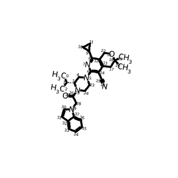 CC(C)[C@@H]1CN(c2nc(C3CC3)c3c(c2C#N)CC(C)(C)OC3)CCN1C(=O)Cn1ccc2ccccc21